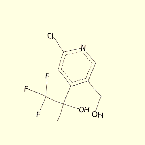 CC(O)(c1cc(Cl)ncc1CO)C(F)(F)F